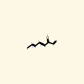 C=CC(=O)/C=C/C=C/C